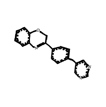 c1ccc2c(c1)N=C(c1ccc(-c3cncnc3)cc1)CO2